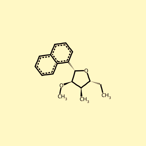 CC[C@H]1O[C@@H](c2cccc3ccccc23)[C@H](OC)[C@@H]1C